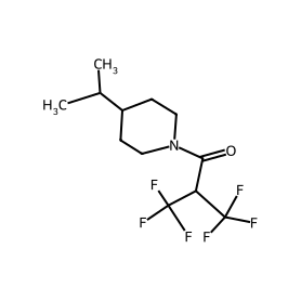 CC(C)C1CCN(C(=O)C(C(F)(F)F)C(F)(F)F)CC1